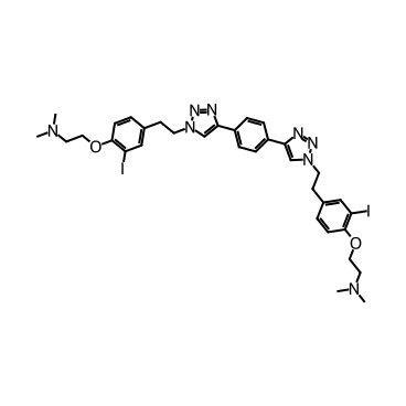 CN(C)CCOc1ccc(CCn2cc(-c3ccc(-c4cn(CCc5ccc(OCCN(C)C)c(I)c5)nn4)cc3)nn2)cc1I